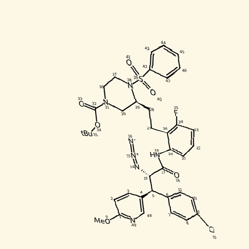 COc1ccc([C@H](c2ccc(Cl)cc2)[C@H](N=[N+]=[N-])C(=O)Nc2cccc(F)c2CC[C@H]2CN(C(=O)OC(C)(C)C)CCN2S(=O)(=O)c2ccccc2)cn1